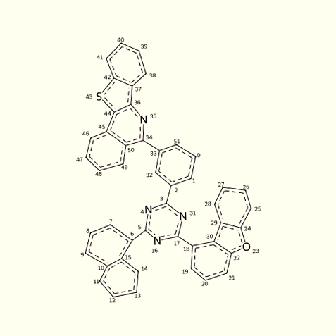 c1cc(-c2nc(-c3cccc4ccccc34)nc(-c3cccc4oc5ccccc5c34)n2)cc(-c2nc3c4ccccc4sc3c3ccccc23)c1